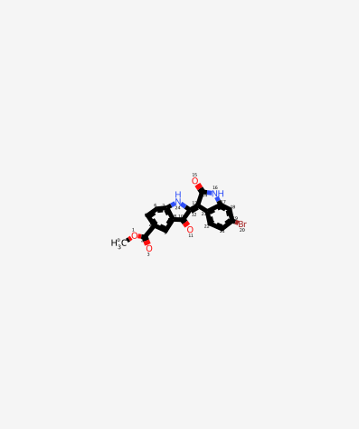 COC(=O)c1ccc2c(c1)C(=O)/C(=C1/C(=O)Nc3cc(Br)ccc31)N2